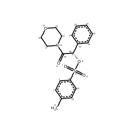 Cc1ccc(S(=O)(=O)O[C@H](C(=O)N2CCOCC2)c2ccccc2)cc1